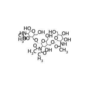 CC(=O)NC1[C@H](COC[C@@H]2C(CO)O[C@@H](COC[C@@H]3C(CO)O[C@@H](O)C(NC(C)=O)[C@H]3O)C(N(C(C)=O)C(C)=O)[C@H]2O)OC(CO)[C@@H](O)[C@@H]1O